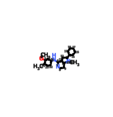 COc1cc(Nc2nccc3c2cc(-c2ccccc2)n3C)ccc1C